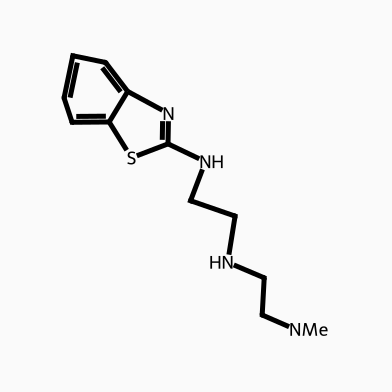 CNCCNCCNc1nc2ccccc2s1